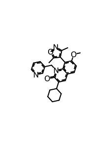 COc1ccc2cc(C3CCCCC3)c(=O)n(Cc3cccnc3)c2c1-c1c(C)noc1C